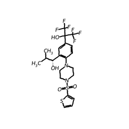 CC(C)[C@@H](O)c1cc(C(O)(C(F)(F)F)C(F)(F)F)ccc1N1CCN(S(=O)(=O)c2cccs2)CC1